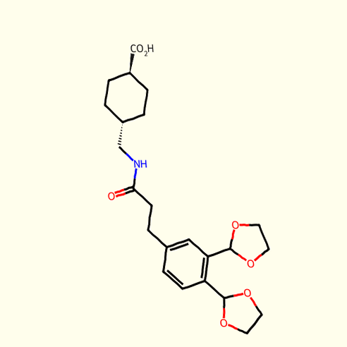 O=C(CCc1ccc(C2OCCO2)c(C2OCCO2)c1)NC[C@H]1CC[C@H](C(=O)O)CC1